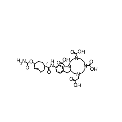 C[C@]1(C(=O)Nc2ccc(CC3CN(CC(=O)O)CCN(C(=O)O)CCN(C(=O)O)CCN3CC(=O)O)cc2)CC/C=C/[C@@H](OC(N)=O)CC1